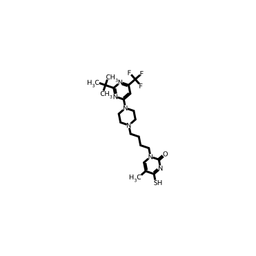 Cc1cn(CCCCN2CCN(c3cc(C(F)(F)F)nc(C(C)(C)C)n3)CC2)c(=O)nc1S